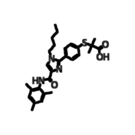 CCCCCn1cc(C(=O)Nc2c(C)cc(C)cc2C)nc1-c1ccc(SC(C)(C)C(=O)O)cc1